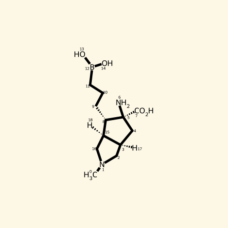 CN1C[C@@H]2C[C@@](N)(C(=O)O)[C@@H](CCCB(O)O)[C@@H]2C1